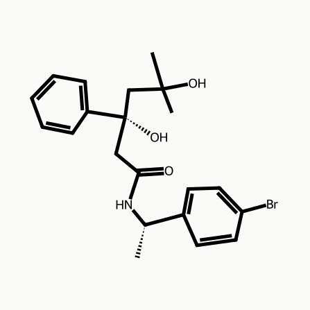 C[C@H](NC(=O)C[C@](O)(CC(C)(C)O)c1ccccc1)c1ccc(Br)cc1